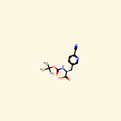 CC(C)(C)OC(=O)N[C@@H](Cc1ccc(C#N)nc1)C(=O)O